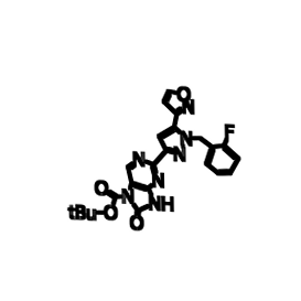 CC(C)(C)OC(=O)n1c(=O)[nH]c2nc(-c3cc(-c4ccon4)n(Cc4ccccc4F)n3)ncc21